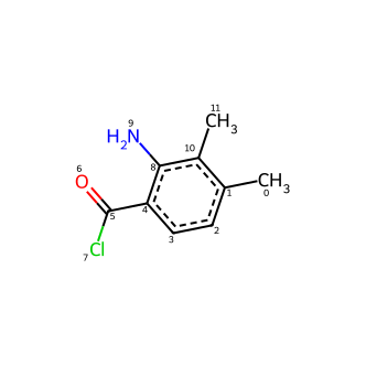 Cc1ccc(C(=O)Cl)c(N)c1C